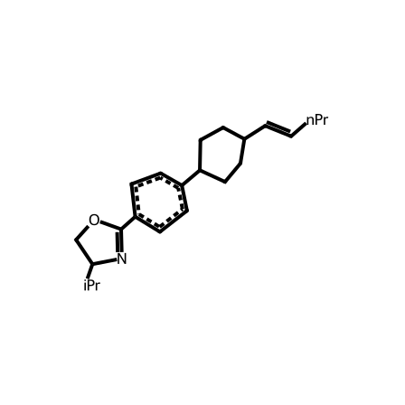 CCCC=CC1CCC(c2ccc(C3=NC(C(C)C)CO3)cc2)CC1